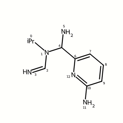 CC(C)N(C=N)C(N)c1cccc(N)n1